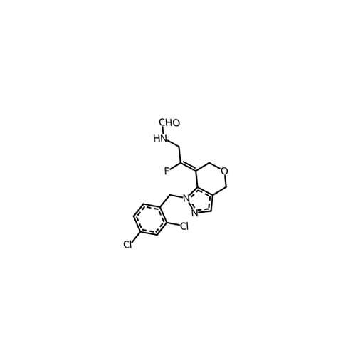 O=CNC/C(F)=C1\COCc2cnn(Cc3ccc(Cl)cc3Cl)c21